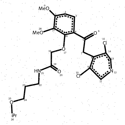 COc1ccc(C(=O)Cc2c(Cl)cncc2Cl)c(OCC(=O)NCCCOC(C)C)c1OC